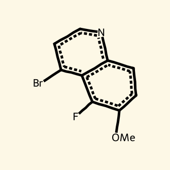 COc1ccc2nccc(Br)c2c1F